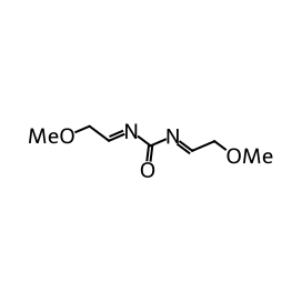 COCC=NC(=O)N=CCOC